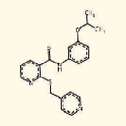 CC(C)Oc1cccc(NC(=O)c2cccnc2SCc2ccncc2)c1